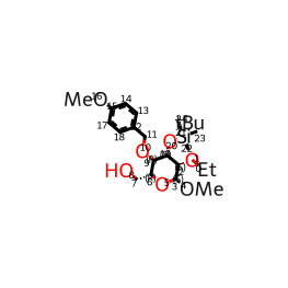 CCO[C@@H]1[C@@H](OC)O[C@H](CO)[C@@H](OCc2ccc(OC)cc2)[C@@H]1O[Si](C)(C)C(C)(C)C